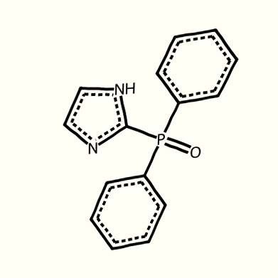 O=P(c1ccccc1)(c1ccccc1)c1ncc[nH]1